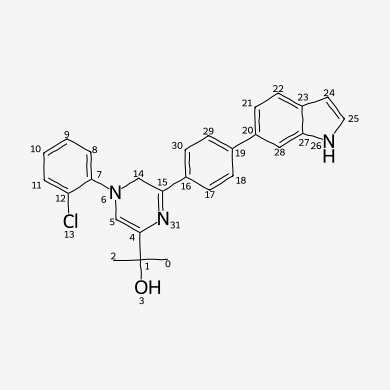 CC(C)(O)C1=CN(c2ccccc2Cl)CC(c2ccc(-c3ccc4cc[nH]c4c3)cc2)=N1